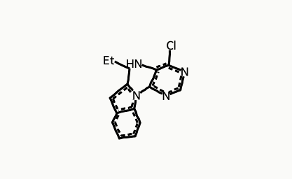 CCC1Nc2c(Cl)ncnc2-n2c1cc1ccccc12